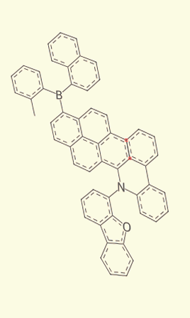 Cc1ccccc1B(c1cccc2ccccc12)c1ccc2ccc3c(N(c4ccccc4-c4ccccc4)c4cccc5c4oc4ccccc45)ccc4ccc1c2c43